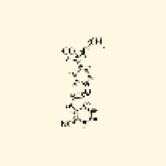 CC#CC(CC(=O)O)c1ccc(OC2CCc3c(C#N)cccc32)cc1